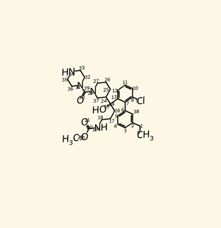 CCc1cccc(-c2c(Cl)cccc2C(O)(CCCNC(=O)OC)C2CCCN(C(=O)N3CCNCC3)C2)c1